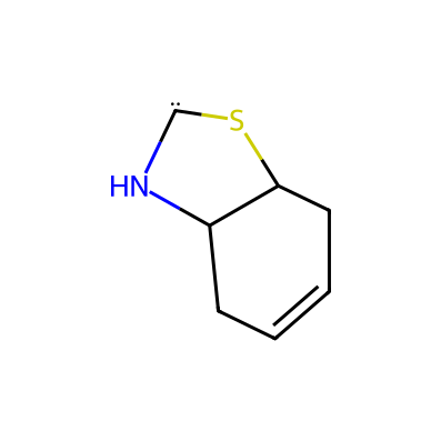 [C]1NC2CC=CCC2S1